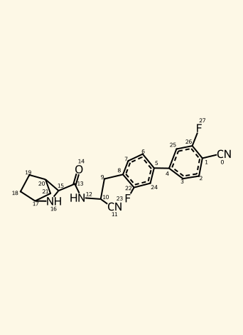 N#Cc1ccc(-c2ccc(CC(C#N)NC(=O)C3NC4CCC3C4)c(F)c2)cc1F